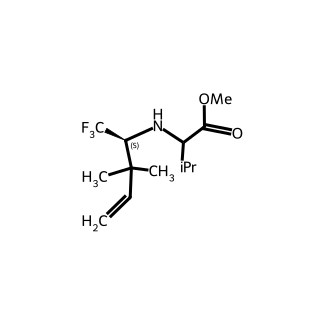 C=CC(C)(C)[C@H](NC(C(=O)OC)C(C)C)C(F)(F)F